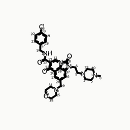 CN1CCN(CCn2c(=O)n3cc(C(=O)NCc4ccc(Cl)cc4)c(=O)c4cc(CN5CCOCC5)cc2c43)CC1